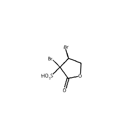 O=C1OCC(Br)C1(Br)S(=O)(=O)O